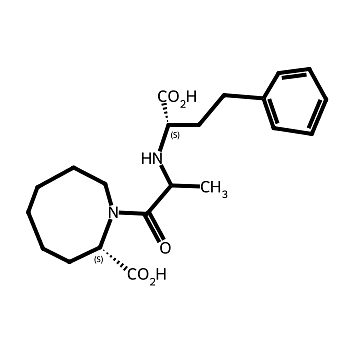 CC(N[C@@H](CCc1ccccc1)C(=O)O)C(=O)N1CCCCCC[C@H]1C(=O)O